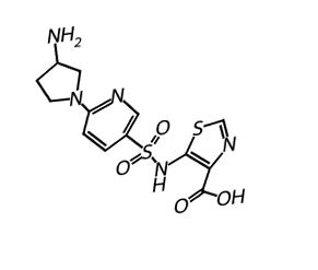 NC1CCN(c2ccc(S(=O)(=O)Nc3scnc3C(=O)O)cn2)C1